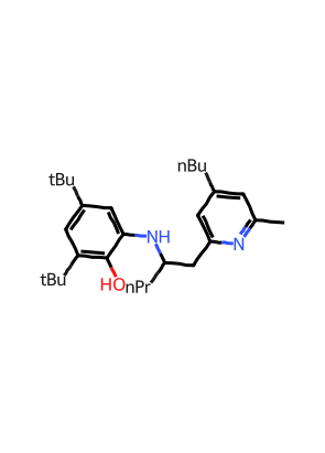 CCCCc1cc(C)nc(CC(CCC)Nc2cc(C(C)(C)C)cc(C(C)(C)C)c2O)c1